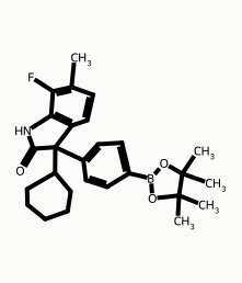 Cc1ccc2c(c1F)NC(=O)C2(c1ccc(B2OC(C)(C)C(C)(C)O2)cc1)C1CCCCC1